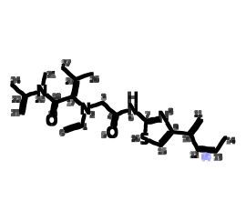 C=CN(CC(=O)Nc1nc(C(=C)/C=C\C)cs1)C(C(=O)N(C)C(=C)C)=C(C)C